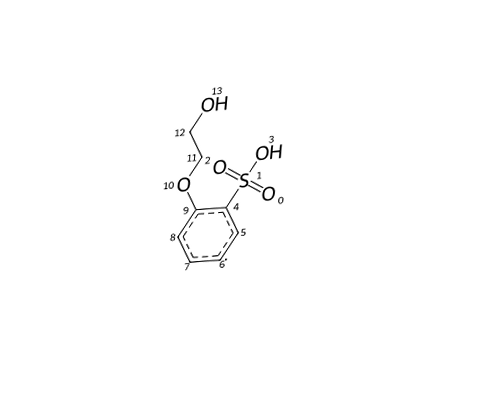 O=S(=O)(O)c1c[c]ccc1OCCO